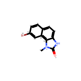 Cn1c(=O)[nH]c2ccc3ccc(Br)cc3c21